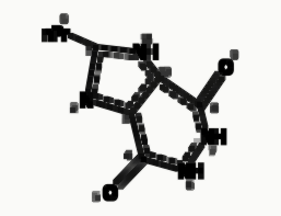 CCCc1nc2c(=O)[nH][nH]c(=O)c2[nH]1